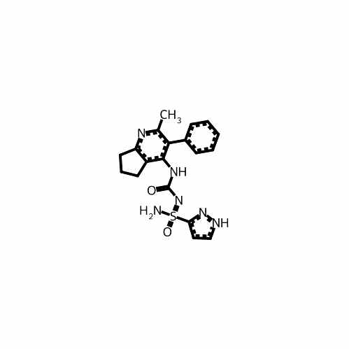 Cc1nc2c(c(NC(=O)N=S(N)(=O)c3cc[nH]n3)c1-c1ccccc1)CCC2